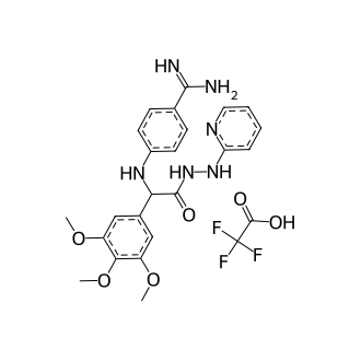 COc1cc(C(Nc2ccc(C(=N)N)cc2)C(=O)NNc2ccccn2)cc(OC)c1OC.O=C(O)C(F)(F)F